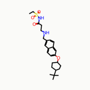 CCS(=O)(=O)NC(=O)CCNCc1ccc2cc(OC3CCC(C(C)(C)C)CC3)ccc2c1